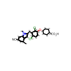 Cc1cc(C#N)cc2c1cc(Cc1c(Cl)ccc(O[C@H]3CC[C@H](C(=O)O)CC3)c1Cl)n2C